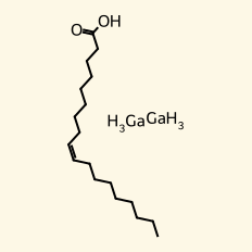 CCCCCCCC/C=C\CCCCCCCC(=O)O.[GaH3].[GaH3]